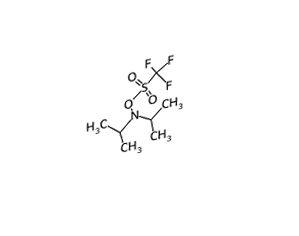 CC(C)N(OS(=O)(=O)C(F)(F)F)C(C)C